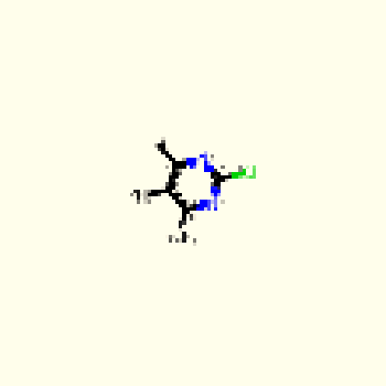 [2H]c1c(C)nc(Cl)nc1C(F)(F)F